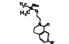 CC(C)(C)[Si](C)(C)OCCN1CCc2ccc(Br)cc2C1=O